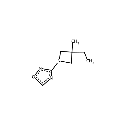 CCC1(C)CN(c2ncon2)C1